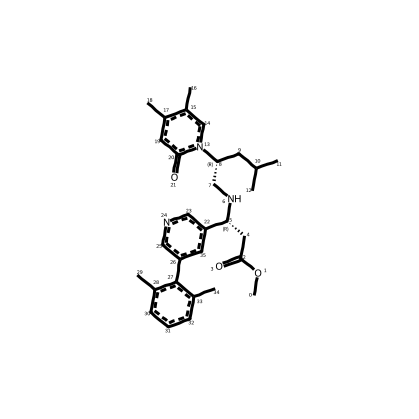 COC(=O)C[C@@H](NC[C@@H](CC(C)C)n1cc(C)c(C)cc1=O)c1cncc(-c2c(C)cccc2C)c1